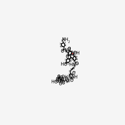 NCc1ccc(C(=O)NCc2c3oc4cc(O)ccc4c(-c4cc(C(=O)NCC#CCc5cn([C@H]6CC[C@@H](COP(OO)(OOO)(P(=O)=O)P(=O)=O)O6)c(=O)[nH]c5=O)ccc4C(=O)O)c-3ccc2=O)cc1